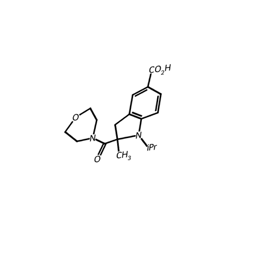 CC(C)N1c2ccc(C(=O)O)cc2CC1(C)C(=O)N1CCOCC1